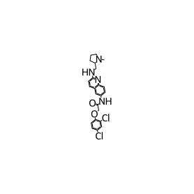 CN1CCCC1CNc1ccc2cc(NC(=O)COc3ccc(Cl)cc3Cl)ccc2n1